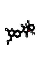 COCc1cc(=O)oc2cc(N3C(=O)C4[C@@H]5CC[C@@H](CC5=O)[C@H]4C3=O)ccc12